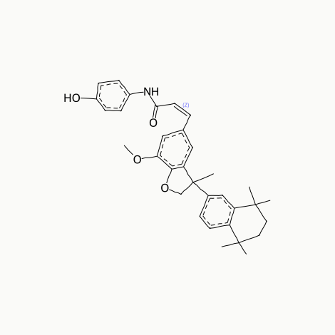 COc1cc(/C=C\C(=O)Nc2ccc(O)cc2)cc2c1OCC2(C)c1ccc2c(c1)C(C)(C)CCC2(C)C